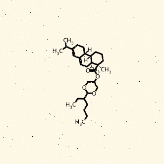 CCCCC(CC)C1OCC(OC(=O)[C@]2(C)CCC[C@H]3[C@H]4CCC(C(C)C)=CC4=CC[C@@]32C)CO1